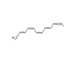 C=C/C=C/C=C\C=C/C=C/C